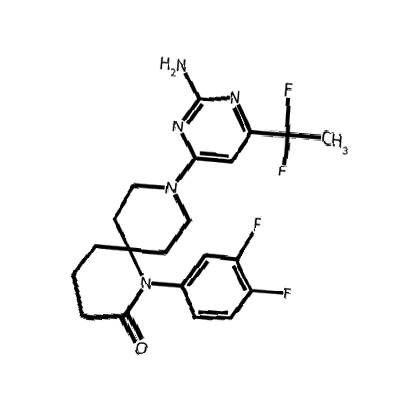 CC(F)(F)c1cc(N2CCC3(CCCC(=O)N3c3ccc(F)c(F)c3)CC2)nc(N)n1